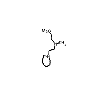 COCCN(C)CCN1CCCCC1